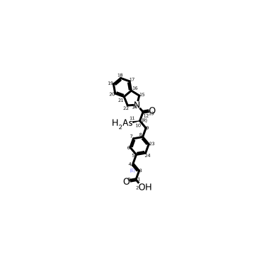 O=C(O)/C=C/c1ccc(C[C@@H]([AsH2])C(=O)N2Cc3ccccc3C2)cc1